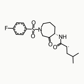 CC(C)C[CH]C(=O)N[C@H]1CCCN(S(=O)(=O)c2ccc(F)cc2)CC1=O